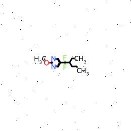 CCCC(CC)C(F)(F)c1cnc(OC)nc1